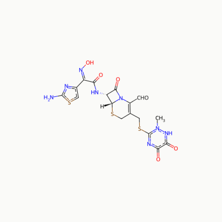 Cn1[nH]c(=O)c(=O)nc1SCC1=C(C=O)N2C(=O)[C@@H](NC(=O)/C(=N\O)c3csc(N)n3)[C@H]2SC1